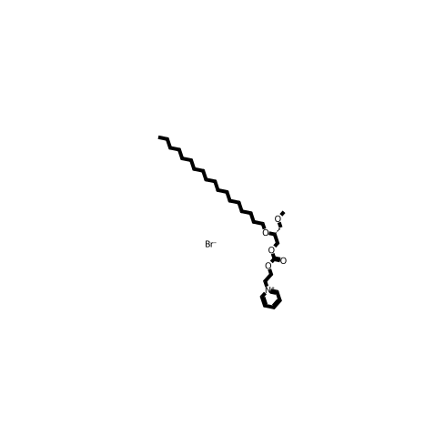 CCCCCCCCCCCCCCCCCCO[C@H](COC)COC(=O)OCC[n+]1ccccc1.[Br-]